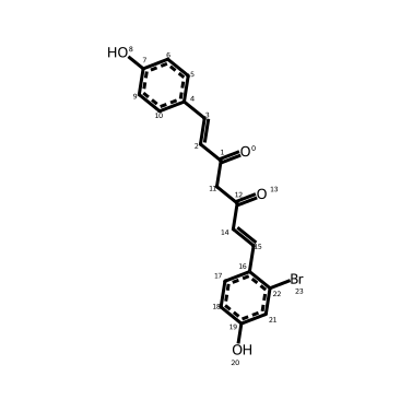 O=C(/C=C/c1ccc(O)cc1)CC(=O)/C=C/c1ccc(O)cc1Br